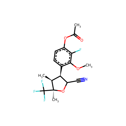 COc1c([C@H]2C(C#N)O[C@@](C)(C(F)(F)F)[C@H]2C)ccc(OC(C)=O)c1F